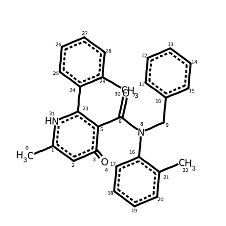 Cc1cc(=O)c(C(=O)N(Cc2ccccc2)c2ccccc2C)c(-c2ccccc2C)[nH]1